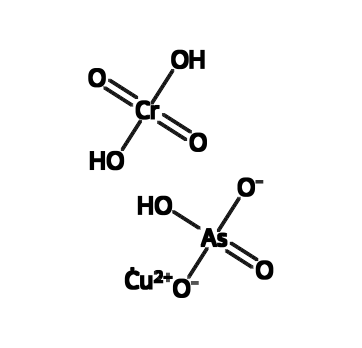 O=[As]([O-])([O-])O.[Cu+2].[O]=[Cr](=[O])([OH])[OH]